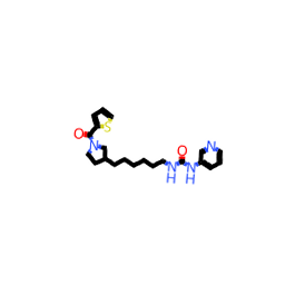 O=C(NCCCCCCC1CCN(C(=O)c2cccs2)C1)Nc1cccnc1